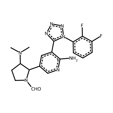 CN(C)C1CCN(C=O)C1c1cnc(N)c(-c2nnnn2-c2cccc(F)c2F)c1